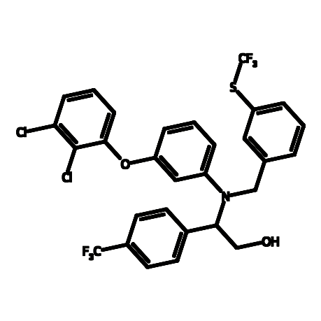 OCC(c1ccc(C(F)(F)F)cc1)N(Cc1cccc(SC(F)(F)F)c1)c1cccc(Oc2cccc(Cl)c2Cl)c1